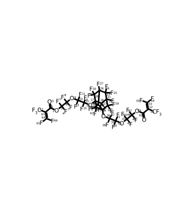 O=C(OC(F)(F)C(F)(F)OC(F)(F)C(F)(F)OC12C(F)(F)C3(F)C(F)(F)C(F)(C1(F)F)C(F)(F)C(OC(F)(F)C(F)(F)OC(F)(F)C(F)(F)OC(=O)C(=C(F)F)C(F)(F)F)(C3(F)F)C2(F)F)C(=C(F)F)C(F)(F)F